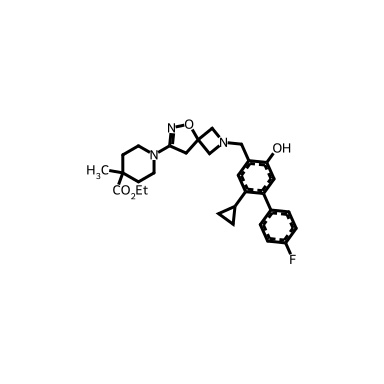 CCOC(=O)C1(C)CCN(C2=NOC3(C2)CN(Cc2cc(C4CC4)c(-c4ccc(F)cc4)cc2O)C3)CC1